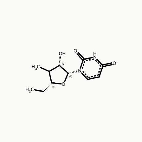 CC[C@H]1O[C@@H](n2ccc(=O)[nH]c2=O)[C@@H](O)C1C